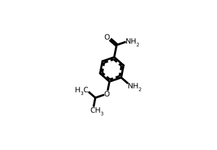 CC(C)Oc1ccc(C(N)=O)cc1N